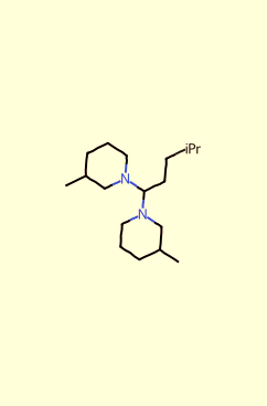 CC(C)CCC(N1CCCC(C)C1)N1CCCC(C)C1